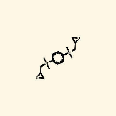 C[N+](C)(CC1CO1)c1ccc([N+](C)(C)CC2CO2)cc1